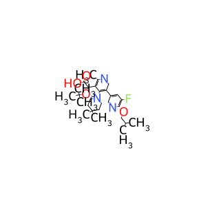 Cc1ncc(-c2cnc(OCC(C)C)c(F)c2)c(N2CCC(C)(C)CC2)c1C(OC(C)(C)C)C(=O)O